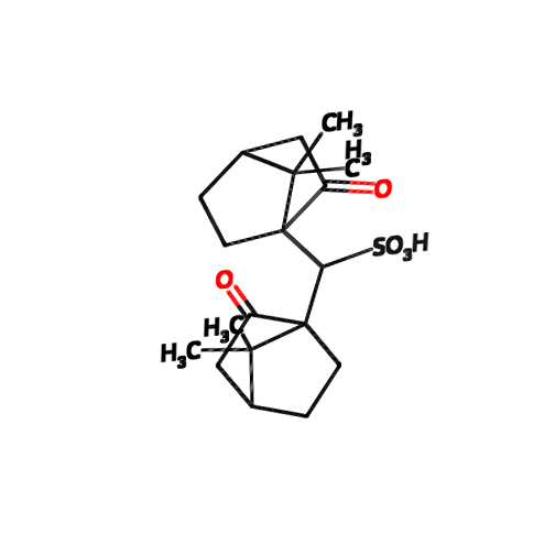 CC1(C)C2CCC1(C(C13CCC(CC1=O)C3(C)C)S(=O)(=O)O)C(=O)C2